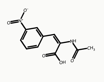 CC(=O)N/C(=C/c1cccc([N+](=O)[O-])c1)C(=O)O